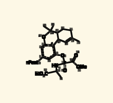 CCCCCc1cc2c(c(OP(=O)(NC(C)C(=O)OCC)C(=O)OC)c1)C1C=C(C)CCC1C(C)(C)O2